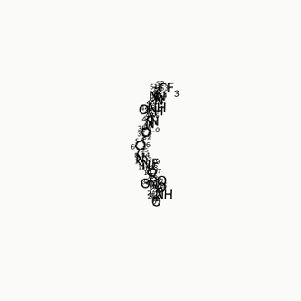 Cc1cc(-c2ccc(CN3CCN(c4cc5c(cc4F)C(=O)N(C4CCC(=O)NC4=O)C5=O)CC3)cc2)ccc1-n1cc(C(=O)NCc2nc(C(C)(C)C(F)(F)F)n[nH]2)cn1